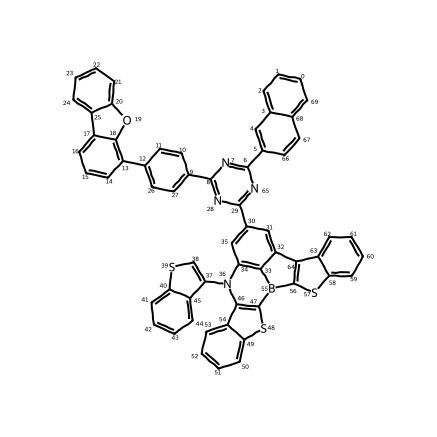 c1ccc2cc(-c3nc(-c4ccc(-c5cccc6c5oc5ccccc56)cc4)nc(-c4cc5c6c(c4)N(c4csc7ccccc47)c4c(sc7ccccc47)B6c4sc6ccccc6c4-5)n3)ccc2c1